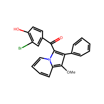 COc1c(-c2ccccc2)c(C(=O)c2ccc(O)c(Br)c2)n2ccccc12